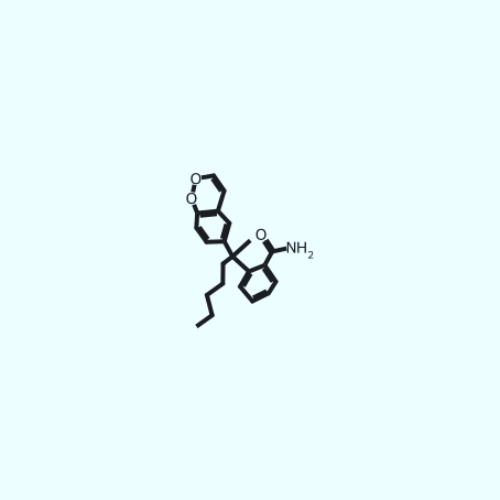 CCCCCC(C)(c1ccc2c(c1)C=COO2)c1ccccc1C(N)=O